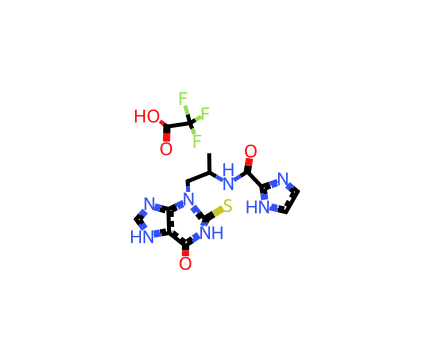 CC(Cn1c(=S)[nH]c(=O)c2[nH]cnc21)NC(=O)c1ncc[nH]1.O=C(O)C(F)(F)F